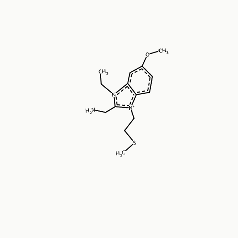 CCn1c(CN)[n+](CCSC)c2ccc(OC)cc21